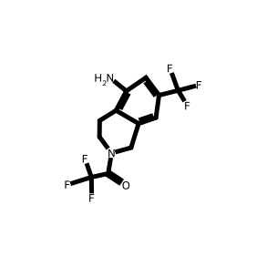 Nc1cc(C(F)(F)F)cc2c1CCN(C(=O)C(F)(F)F)C2